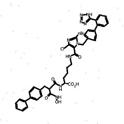 CCCCc1nc(Cl)c(C(=O)NCCCC[C@H](NC(=O)C(Cc2ccc(-c3ccccc3)cc2)C(=O)NO)C(=O)O)n1Cc1ccc(-c2ccccc2-c2nnn[nH]2)cc1